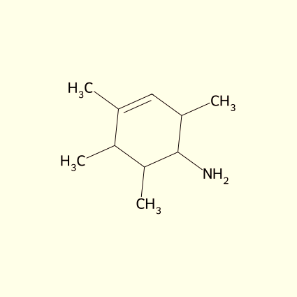 CC1=CC(C)C(N)C(C)C1C